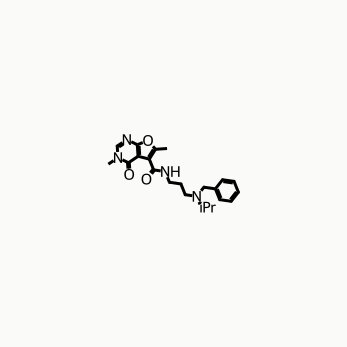 Cc1oc2ncn(C)c(=O)c2c1C(=O)NCCCN(Cc1ccccc1)C(C)C